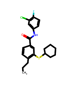 CCCc1ccc(C(=O)Nc2ccc(F)c(Cl)c2)cc1SC1CCCCC1